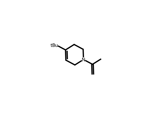 C=C(C)N1CC=C(C(C)(C)C)CC1